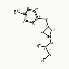 FCC(F)CN1CC(Cc2ccc(Br)cc2)C1